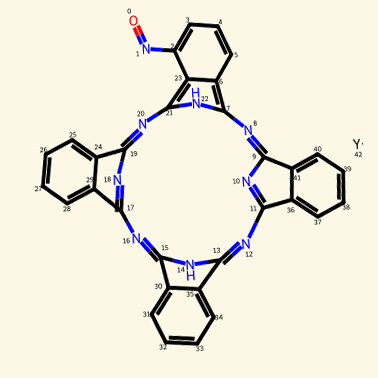 O=Nc1cccc2c3nc4nc(nc5[nH]c(nc6nc(nc([nH]3)c12)-c1ccccc1-6)c1ccccc51)-c1ccccc1-4.[Y]